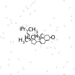 CC(C)C(C)/C=C/C(C)C1CCC2C3=CCC4=CC(=O)CCC4(C)C3CCC21C